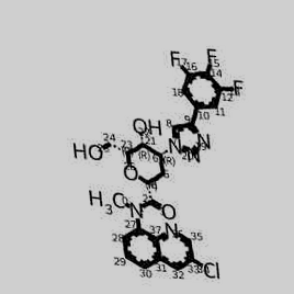 CN(C(=O)[C@H]1C[C@@H](n2cc(-c3cc(F)c(F)c(F)c3)nn2)[C@@H](O)[C@@H](CO)O1)c1cccc2cc(Cl)cnc12